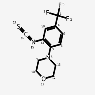 FC(F)(F)c1ccc(N2CCOCC2)c(N=C=S)c1